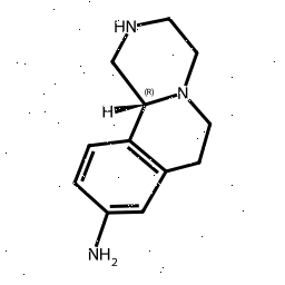 Nc1ccc2c(c1)CCN1CCNC[C@@H]21